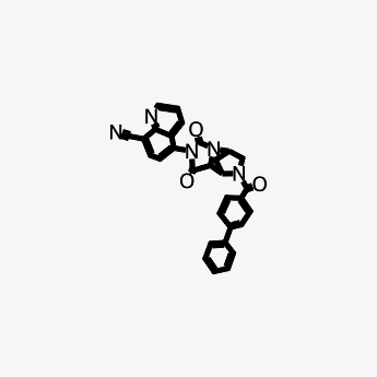 N#Cc1ccc(N2C(=O)C3C4CC(CN4C(=O)c4ccc(-c5ccccc5)cc4)N3C2=O)c2cccnc12